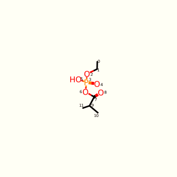 CCOP(=O)(O)OC(=O)C(C)C